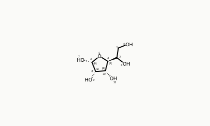 OCC(O)[C@@H]1O[C@@H](O)[C@@H](O)[C@H]1O